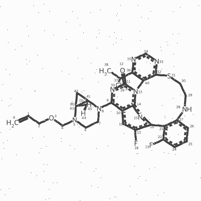 C=CCOCN1CCN(c2nc(=O)n3c4nc(c(F)cc24)-c2c(F)cccc2NCCSc2ncnc(C(C)C)c2-3)[C@H]2C[C@H]21